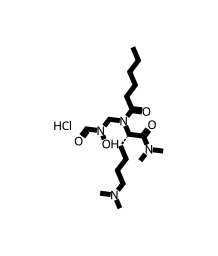 CCCCCC(=O)N(CN(O)C=O)[C@@H](CCCCN(C)C)C(=O)N(C)C.Cl